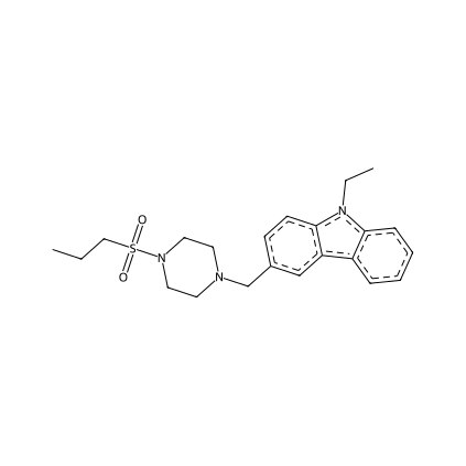 CCCS(=O)(=O)N1CCN(Cc2ccc3c(c2)c2ccccc2n3CC)CC1